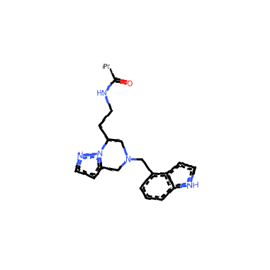 CC(C)C(=O)NCCC1CN(Cc2cccc3[nH]ccc23)Cc2ccnn21